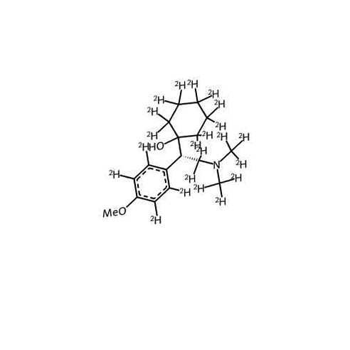 [2H]c1c([2H])c([C@@H](C([2H])([2H])N(C([2H])([2H])[2H])C([2H])([2H])[2H])C2(O)C([2H])([2H])C([2H])([2H])C([2H])([2H])C([2H])([2H])C2([2H])[2H])c([2H])c([2H])c1OC